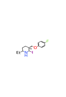 CCC1CC[C@@H](COc2ccc(F)cc2)C(I)N1